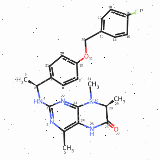 Cc1nc(N[C@@H](C)c2ccc(OCc3ccc(F)cc3)cc2)nc2c1NC(=O)[C@H](C)N2C